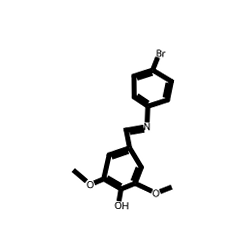 COc1cc(/C=N/c2ccc(Br)cc2)cc(OC)c1O